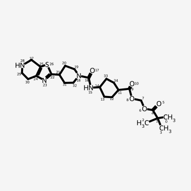 CC(C)(C)C(=O)OCOC(=O)C1CCC(NC(=O)N2CCC(c3nc4c(s3)CNCC4)CC2)CC1